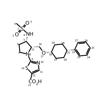 CS(=O)(=O)N[C@H]1CCN(c2ncc(C(=O)O)s2)[C@H]1CO[C@H]1CC[C@@H](c2ccccc2)CC1